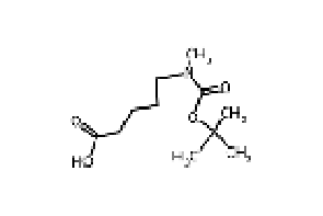 CN(CCCCC(=O)O)C(=O)OC(C)(C)C